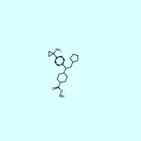 CC(C)(C)OC(=O)N1CCN(C(CC2CCCC2)c2ccc(C3(N)CC3)cc2)CC1